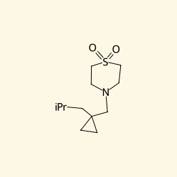 CC(C)CC1(CN2CCS(=O)(=O)CC2)CC1